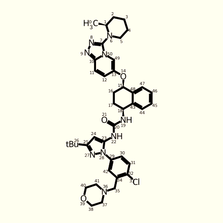 C[C@H]1CCCCN1c1nnc2ccc(O[C@@H]3CC[C@H](NC(=O)Nc4cc(C(C)(C)C)nn4-c4ccc(Cl)c(CN5CCOCC5)c4)c4ccccc43)cn12